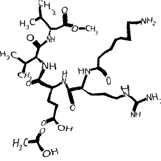 CC(=O)O.COC(=O)[C@@H](NC(=O)[C@@H](NC(=O)[C@H](CCC(=O)O)NC(=O)[C@H](CCCNC(=N)N)NC(=O)CCCCCN)C(C)C)C(C)C